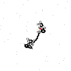 C[C@H]1C=C2C=C[C@H](C)[C@H](CC[C@@H]3C[C@@H](O)CC(=O)O3)[C@H]2[C@@H](OC(=O)NCCCCCCCCCNc2cccc3c2C(=O)N(C2CCC(=O)NC2=O)C3=O)C1